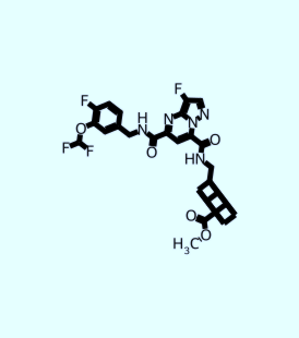 COC(=O)C12C3C4C1C1C2C3C41CNC(=O)c1cc(C(=O)NCc2ccc(F)c(OC(F)F)c2)nc2c(F)cnn12